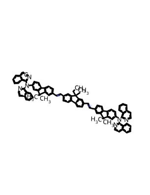 CCC1(CC)c2cc(/C=C/c3ccc4c(c3)C(C)(C)c3cc(N(c5nccc6ccccc56)c5nccc6ccccc56)ccc3-4)ccc2-c2ccc(/C=C/c3ccc4c(c3)C(C)(C)c3cc(N(c5nccc6ccccc56)c5nccc6ccccc56)ccc3-4)cc21